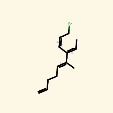 C=CCC/C=C(C)/C(/C=C\CBr)=C/C